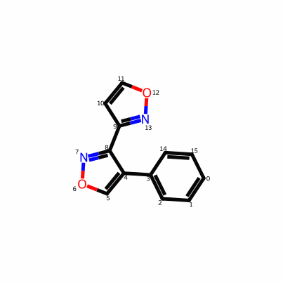 c1ccc(-c2conc2-c2ccon2)cc1